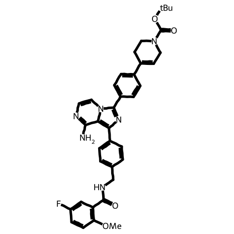 COc1ccc(F)cc1C(=O)NCc1ccc(-c2nc(-c3ccc(C4=CCN(C(=O)OC(C)(C)C)CC4)cc3)n3ccnc(N)c23)cc1